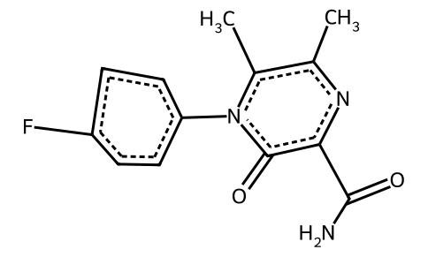 Cc1nc(C(N)=O)c(=O)n(-c2ccc(F)cc2)c1C